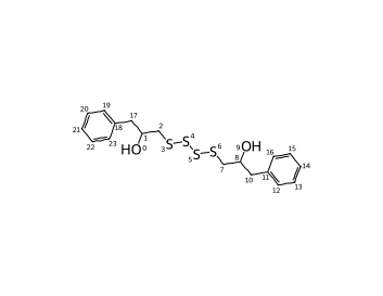 OC(CSSSSCC(O)Cc1ccccc1)Cc1ccccc1